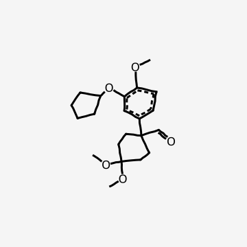 COc1ccc(C2(C=O)CCC(OC)(OC)CC2)cc1OC1CCCC1